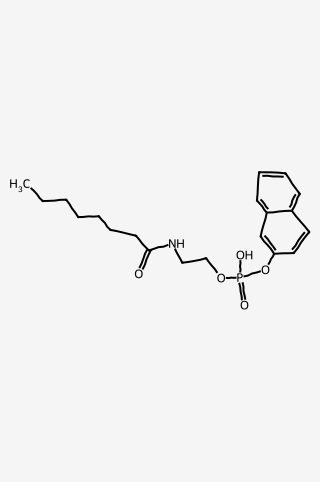 CCCCCCCC(=O)NCCOP(=O)(O)Oc1ccc2ccccc2c1